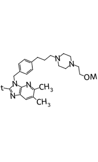 CCc1nc2cc(C)c(C)nc2n1Cc1ccc(CCCN2CCN(CCOC)CC2)cc1